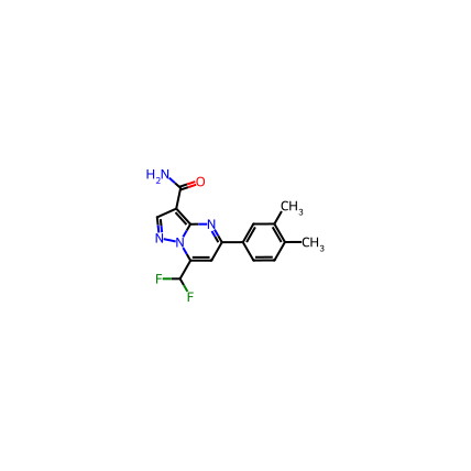 Cc1ccc(-c2cc(C(F)F)n3ncc(C(N)=O)c3n2)cc1C